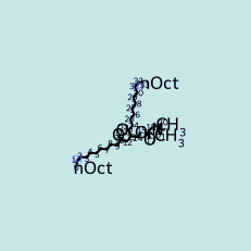 CCCCCCCC/C=C\CCCCCCCC(=O)CC(COC(=O)CN(C)C)C(=O)CCCCCCC/C=C\CCCCCCCC